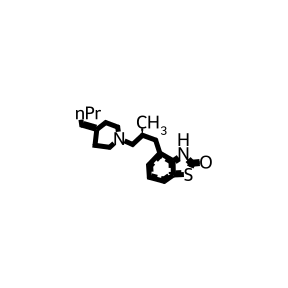 CCCC=C1CCN(C[C@H](C)Cc2cccc3sc(=O)[nH]c23)CC1